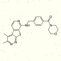 Cc1nnc2sc3c(NCc4ccc(C(=O)N5CCOCC5)cc4)nccc3c2c1C